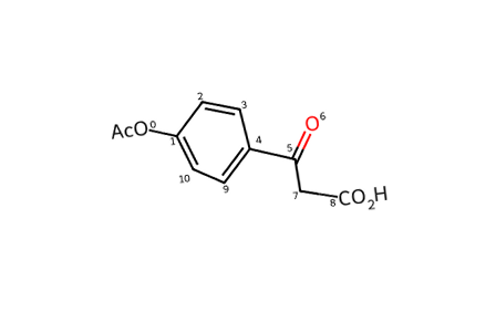 CC(=O)Oc1ccc(C(=O)CC(=O)O)cc1